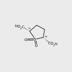 O=C(O)[C@H]1CC[C@@H](C(=O)O)S1(=O)=O